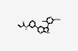 C=CC(=O)Nc1cccc(-c2cnc3[nH]cc(-c4cc(OC)ncc4C)c3c2)c1